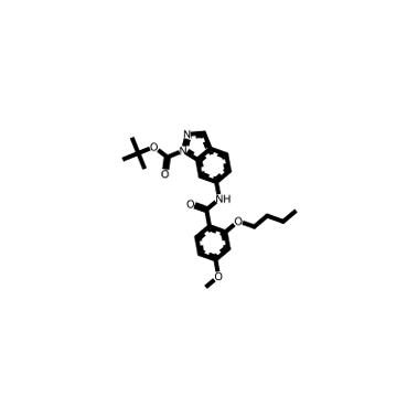 CCCCOc1cc(OC)ccc1C(=O)Nc1ccc2cnn(C(=O)OC(C)(C)C)c2c1